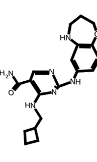 NC(=O)c1cnc(Nc2ccc3c(c2)NCCCO3)nc1NCC1CCC1